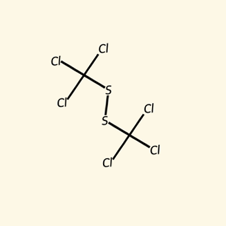 ClC(Cl)(Cl)SSC(Cl)(Cl)Cl